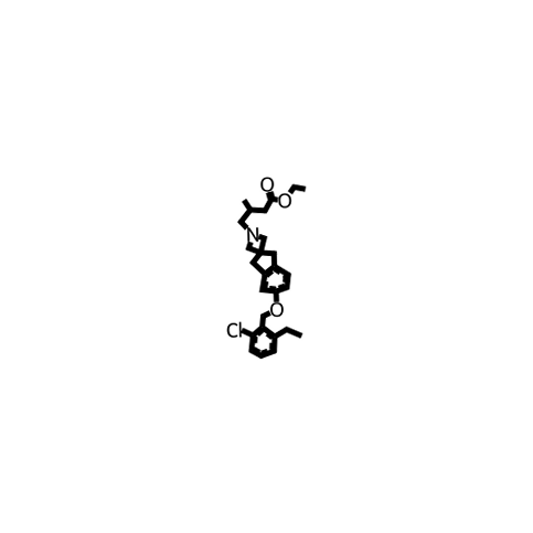 CCOC(=O)CC(C)CN1CC2(Cc3ccc(OCc4c(Cl)cccc4CC)cc3C2)C1